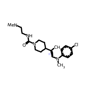 CNCCNC(=O)N1CCC(/C(C)=C/N(C)c2ccc(Cl)cc2)CC1